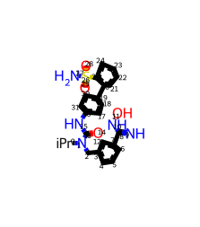 CC(C)N(Cc1cccc(C(=N)NO)c1)C(=O)Nc1ccc(-c2ccccc2S(N)(=O)=O)cc1